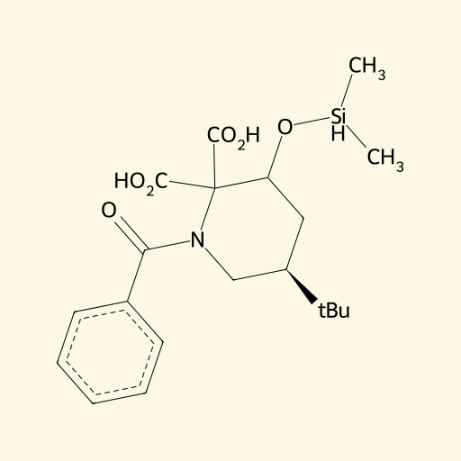 C[SiH](C)OC1C[C@@H](C(C)(C)C)CN(C(=O)c2ccccc2)C1(C(=O)O)C(=O)O